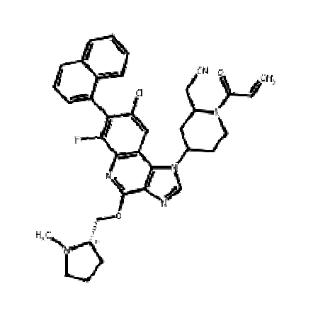 C=CC(=O)N1CCC(n2cnc3c(OC[C@@H]4CCCN4C)nc4c(F)c(-c5cccc6ccccc56)c(Cl)cc4c32)CC1CC#N